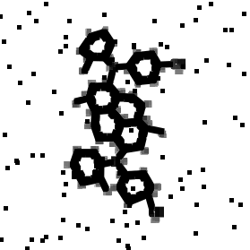 Cc1ccccc1N(c1ccc(C#N)cc1)c1cc(C)c2ccc3c(N(c4ccc(C#N)cc4)c4ccccc4C)cc(C)c4ccc1c2c43